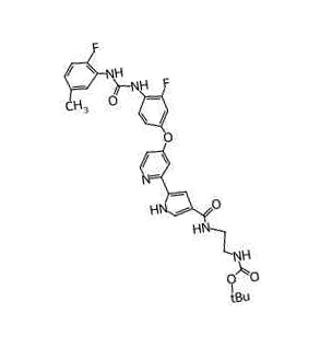 Cc1ccc(F)c(NC(=O)Nc2ccc(Oc3ccnc(-c4cc(C(=O)NCCNC(=O)OC(C)(C)C)c[nH]4)c3)cc2F)c1